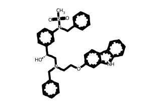 CS(=O)(=O)N(Cc1ccccc1)c1cccc([C@@H](O)CN(CCOc2ccc3c(c2)[nH]c2ccccc23)Cc2ccccc2)c1